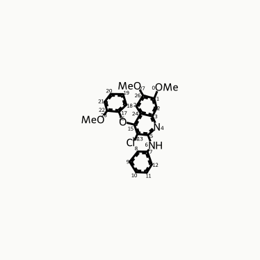 COc1cc2nc(Nc3ccccc3)c(Cl)c(Oc3ccccc3OC)c2cc1OC